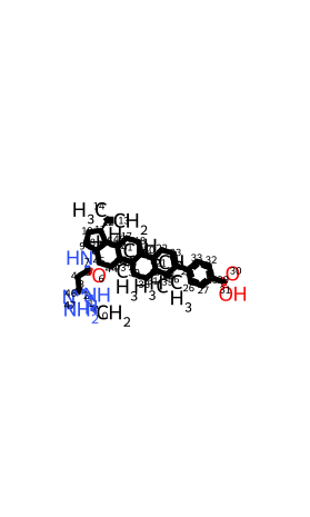 C=NN/C(CC(=O)N[C@]12CC[C@@H](C(=C)C)[C@@H]1[C@H]1CC[C@@H]3[C@@]4(C)CC=C(c5ccc(C(=O)O)cc5)C(C)(C)[C@@H]4CC[C@@]3(C)[C@]1(C)CC2)=N\N